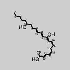 CCCCC[C@H](O)CC/C=C/C=C/C(O)=C/C=C\C/C=C\C=CC(=O)O